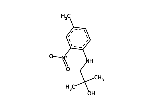 Cc1ccc(NCC(C)(C)O)c([N+](=O)[O-])c1